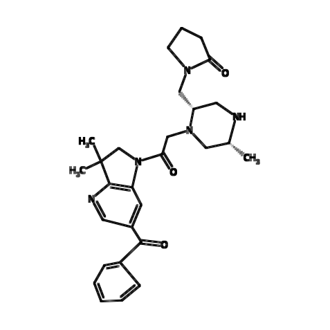 C[C@@H]1CN(CC(=O)N2CC(C)(C)c3ncc(C(=O)c4ccccc4)cc32)[C@H](CN2CCCC2=O)CN1